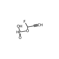 C#CC(F)O[PH](=O)O